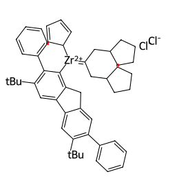 CC(C)(C)c1cc2c(cc1-c1ccccc1)Cc1c-2cc(C(C)(C)C)c(-c2ccccc2)[c]1[Zr+2](=[C](CC1CCCC1)CC1CCCC1)[CH]1C=CC=C1.[Cl-].[Cl-]